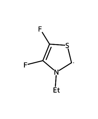 CCN1[CH]SC(F)=C1F